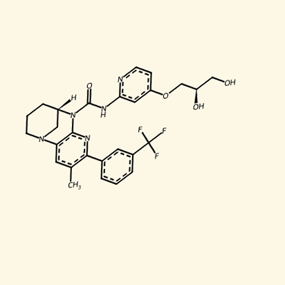 Cc1cc2c(nc1-c1cccc(C(F)(F)F)c1)N(C(=O)Nc1cc(OC[C@H](O)CO)ccn1)[C@H]1CCCN2C1